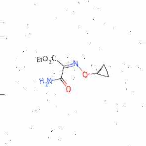 CCOC(=O)C(=NOC1CC1)C(N)=O